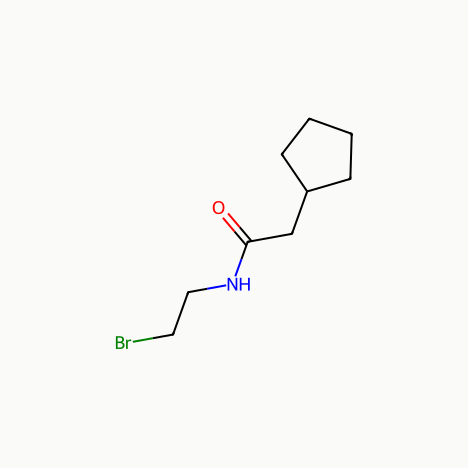 O=C(CC1CCCC1)NCCBr